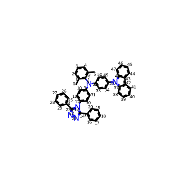 Cc1cccc(C)c1N(c1ccc(-n2c(-c3ccccc3)nnc2-c2ccccc2)cc1)c1ccc(-n2c3ccccc3c3ccccc32)cc1